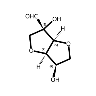 O=C[C@]1(O)CO[C@@H]2[C@H](O)CO[C@@H]21